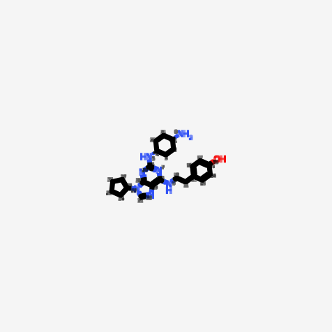 N[C@H]1CC[C@H](Nc2nc(NCCc3ccc(O)cc3)c3ncn(C4CCCC4)c3n2)CC1